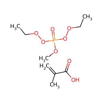 C=C(C)C(=O)O.CCOOP(=O)(OC)OOCC